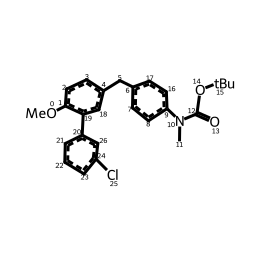 COc1ccc(Cc2ccc(N(C)C(=O)OC(C)(C)C)cc2)cc1-c1cccc(Cl)c1